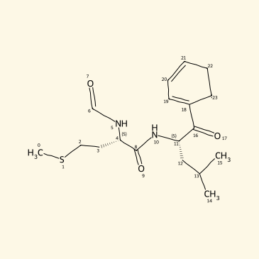 CSCC[C@H](NC=O)C(=O)N[C@@H](CC(C)C)C(=O)C1=CC=CC[CH]1